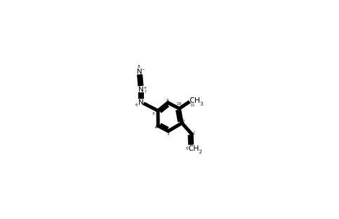 C=Cc1ccc(N=[N+]=[N-])cc1C